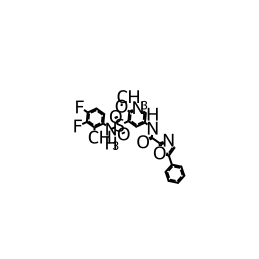 COc1ncc(NC(=O)c2ncc(-c3ccccc3)o2)cc1S(=O)(=O)Nc1ccc(F)c(F)c1C